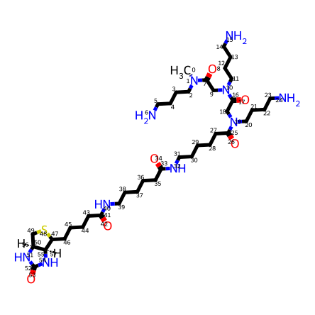 CN(CCCCN)C(=O)CN(CCCCN)C(=O)CN(CCCCN)C(=O)CCCCCNC(=O)CCCCCNC(=O)CCCCC1SC[C@@H]2NC(=O)N[C@H]12